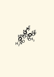 COc1cc(OC(F)(F)F)ccc1Oc1cc(C2CC2(F)F)ncc1C(=O)Nc1ccnc(C(N)=O)c1